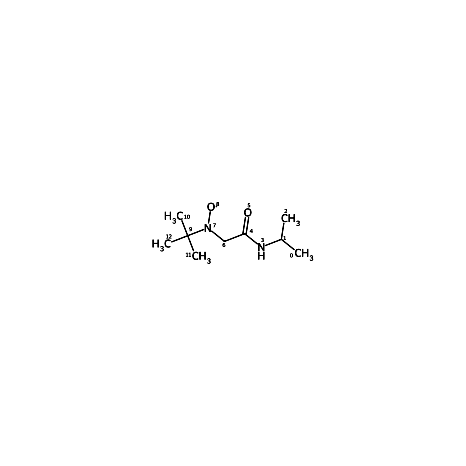 CC(C)NC(=O)CN([O])C(C)(C)C